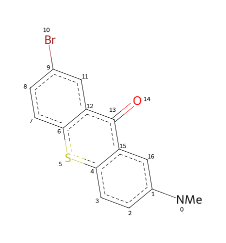 CNc1ccc2sc3ccc(Br)cc3c(=O)c2c1